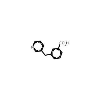 O=C(O)c1cccc(Cc2cccnc2)c1